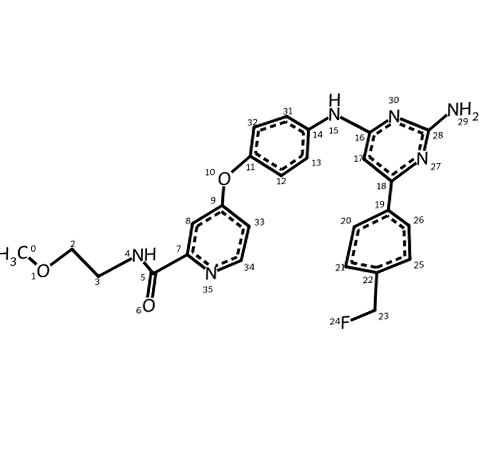 COCCNC(=O)c1cc(Oc2ccc(Nc3cc(-c4ccc(CF)cc4)nc(N)n3)cc2)ccn1